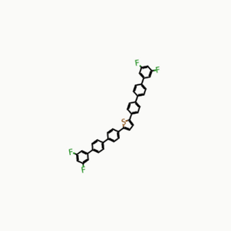 Fc1cc(F)cc(-c2ccc(-c3ccc(-c4ccc(-c5ccc(-c6ccc(-c7cc(F)cc(F)c7)cc6)cc5)s4)cc3)cc2)c1